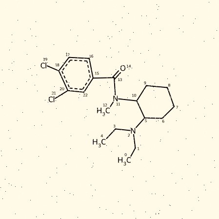 CCN(CC)C1CCCCC1N(C)C(=O)c1ccc(Cl)c(Cl)c1